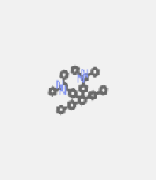 c1ccc(-c2ccc(-c3ccc(-c4ccc(-c5ccccc5)cc4)c(-c4ccc(-c5cc(-c6ccccc6)nc(-c6ccccc6)n5)cc4)c3-c3ccc(-c4cc(-c5ccccc5)nc(-c5ccccc5)n4)cc3)cc2)cc1